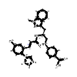 Cn1nc(C[C@@H](CNc2ccc(C(=O)O)cc2)NC(=O)/C=C/c2cc(Cl)ccc2-n2cnnn2)c2ccccc21